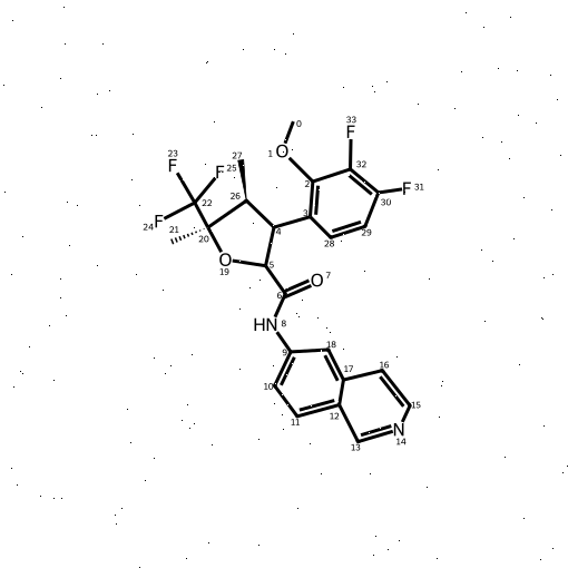 COc1c(C2C(C(=O)Nc3ccc4cnccc4c3)O[C@@](C)(C(F)(F)F)[C@H]2C)ccc(F)c1F